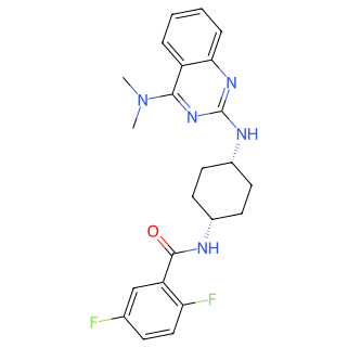 CN(C)c1nc(N[C@H]2CC[C@@H](NC(=O)c3cc(F)ccc3F)CC2)nc2ccccc12